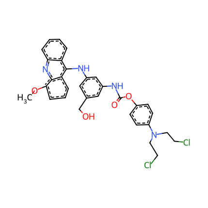 COc1cccc2c(Nc3cc(CO)cc(NC(=O)Oc4ccc(N(CCCl)CCCl)cc4)c3)c3ccccc3nc12